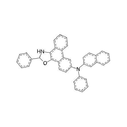 c1ccc(C2Nc3c(c4ccc(N(c5ccccc5)c5ccc6ccccc6c5)cc4c4ccccc34)O2)cc1